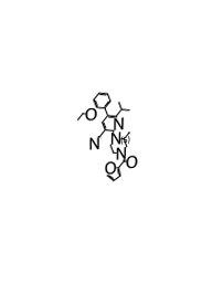 CCOc1ccccc1-c1cc(C#N)c(N2CCN(C(=O)c3ccco3)C[C@@H]2C)nc1C(C)C